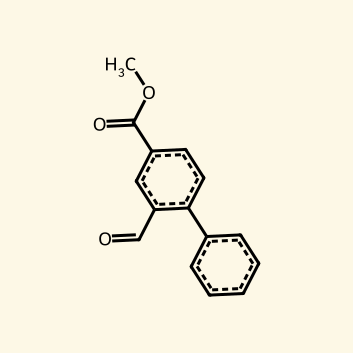 COC(=O)c1ccc(-c2ccccc2)c(C=O)c1